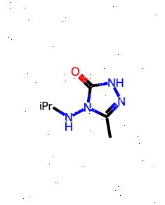 Cc1n[nH]c(=O)n1NC(C)C